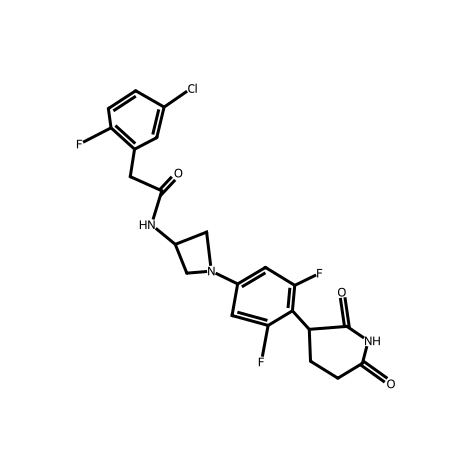 O=C1CCC(c2c(F)cc(N3CC(NC(=O)Cc4cc(Cl)ccc4F)C3)cc2F)C(=O)N1